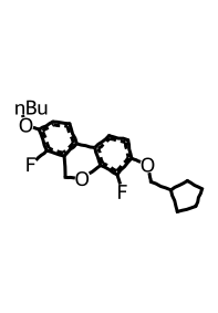 CCCCOc1ccc2c(c1F)COc1c-2ccc(OCC2CCCC2)c1F